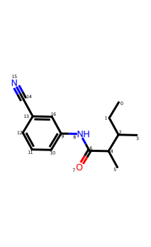 CCC(C)C(C)C(=O)Nc1cccc(C#N)c1